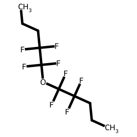 CCCC(F)(F)C(F)(F)OC(F)(F)C(F)(F)CCC